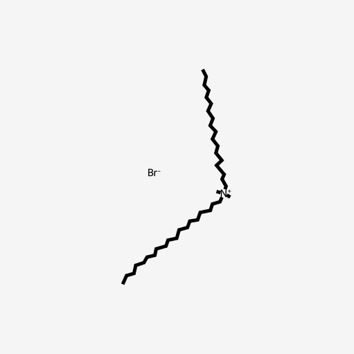 CCCCCCCCCCCCCCCCCCC[N+](C)(C)CCCCCCCCCCCCCCCCCC.[Br-]